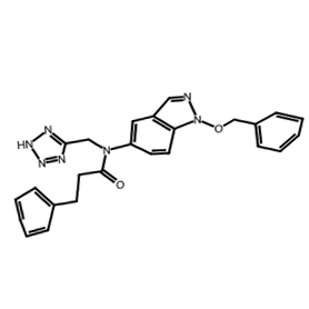 O=C(CCc1ccccc1)N(Cc1nn[nH]n1)c1ccc2c(cnn2OCc2ccccc2)c1